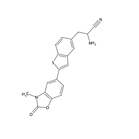 Cn1c(=O)oc2ccc(-c3cc4cc(CC(N)C#N)ccc4s3)cc21